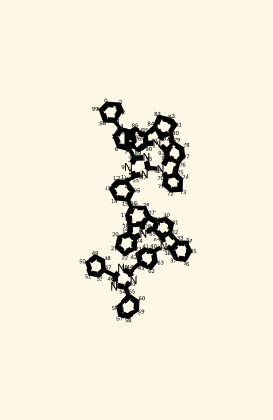 c1ccc(-c2ccc(-c3nc(-c4cccc(-c5cc6c7ccccc7n7c6c(c5)c5ccc6c8ccccc8n(-c8ccc(-c9nc(-c%10ccccc%10)nc(-c%10ccccc%10)n9)cc8)c6c57)c4)nc(-n4c5ccccc5c5ccc6c7cccc8c9ccccc9n(c87)c6c54)n3)cc2)cc1